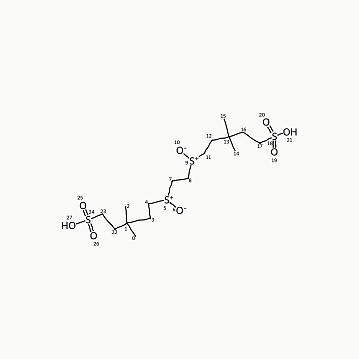 CC(C)(CC[S+]([O-])CC[S+]([O-])CCC(C)(C)CCS(=O)(=O)O)CCS(=O)(=O)O